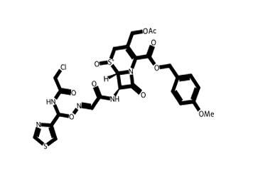 COc1ccc(COC(=O)C2=C(COC(C)=O)C[S+]([O-])[C@H]3[C@H](NC(=O)C=NOC(NC(=O)CCl)c4cscn4)C(=O)N23)cc1